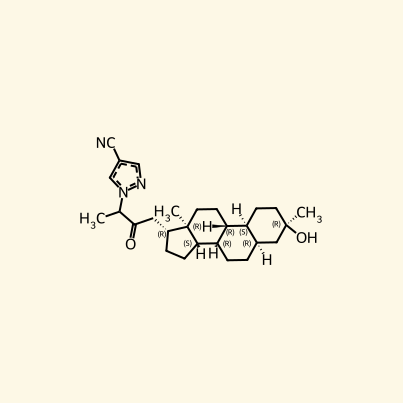 CC(C(=O)C[C@H]1CC[C@H]2[C@@H]3CC[C@@H]4C[C@](C)(O)CC[C@@H]4[C@H]3CC[C@]12C)n1cc(C#N)cn1